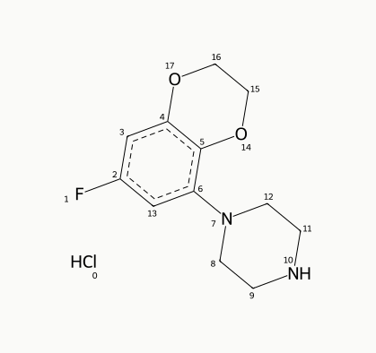 Cl.Fc1cc2c(c(N3CCNCC3)c1)OCCO2